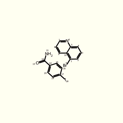 Brc1cccc2ncccc12.NC(=O)c1ccc(I)cc1